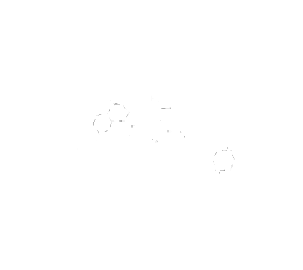 COc1ccc2nccc([C@H](F)CC[C@@H]3CCN(CCCc4cnccn4)C[C@@H]3CC(=O)O)c2c1